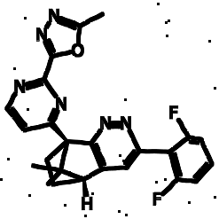 Cc1nnc(-c2nccc([C@@]34CC[C@@H](c5cc(-c6c(F)cccc6F)nnc53)C4(C)C)n2)o1